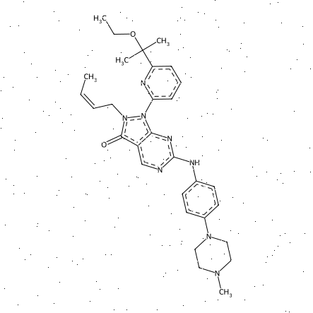 C/C=C\Cn1c(=O)c2cnc(Nc3ccc(N4CCN(C)CC4)cc3)nc2n1-c1cccc(C(C)(C)OCC)n1